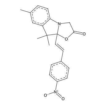 Cc1ccc2c(c1)C(C)(C)C1(C=Cc3ccc([N+](=O)[O-])cc3)OC(=O)CN21